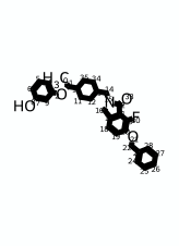 CC(Oc1cccc(O)c1)C1CCC(CN2Cc3ccc(OCc4ccccc4)c(F)c3C2=O)CC1